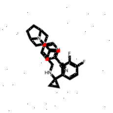 N#Cc1ccc(N2C3CCC2CN(C(=O)CCNC2(c4ccc(F)c(F)c4)CC2)C3)cn1